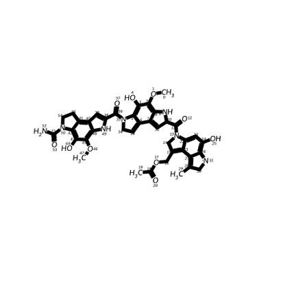 COc1c(O)c2c(c3c1NC(C(=O)N1CC(COC(C)=O)=c4c1cc(O)c1c4=C(C)C[N]1)C=3)=CCN2C(=O)c1cc2c3c(c(O)c(OC)c2[nH]1)N(C(N)=O)CC3